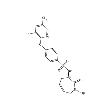 O=C1[C@H](NS(=O)(=O)c2ccc(Oc3ncc(C(F)(F)F)cc3Cl)cc2)CC=CCN1O